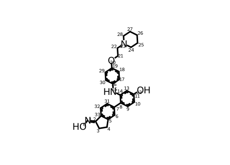 ON=C1CCc2cc(-c3ccc(O)cc3Nc3ccc(OCCN4CCCCC4)cc3)ccc21